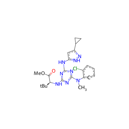 COC(=O)[C@@H](Nc1nc(Nc2cc(C3CC3)n[nH]2)nc(N(C)c2ccccc2Cl)n1)C(C)(C)C